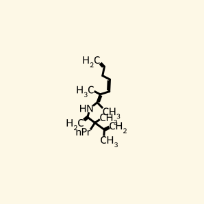 C=CC/C=C\C(C)=C(/C)NC(=C)C(C)(CCC)C(=C)C